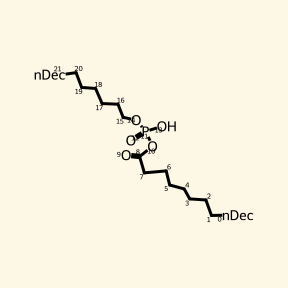 CCCCCCCCCCCCCCCCCC(=O)OP(=O)(O)OCCCCCCCCCCCCCCCC